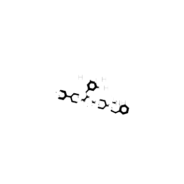 Cc1cc(C[C@@H](OC(=O)N2CCC(N3CCc4ccccc4NC3=O)CC2)C(=O)N2CCC(c3ccncc3)CC2)cc(C)c1O